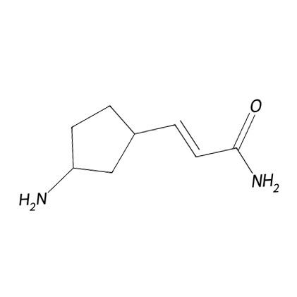 NC(=O)C=CC1CCC(N)C1